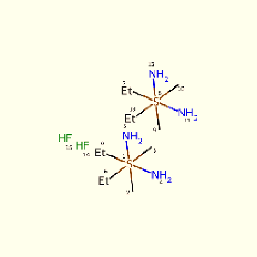 CCS(C)(C)(N)(N)CC.CCS(C)(C)(N)(N)CC.F.F